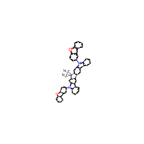 CC1(C)c2cc3c(cc2-c2cc4c5ccccc5n(-c5ccc6oc7ccccc7c6c5)c4cc21)c1ccccc1n3-c1ccc2oc3ccccc3c2c1